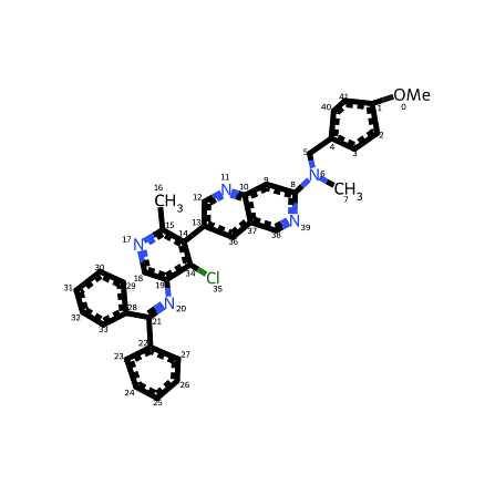 COc1ccc(CN(C)c2cc3ncc(-c4c(C)ncc(N=C(c5ccccc5)c5ccccc5)c4Cl)cc3cn2)cc1